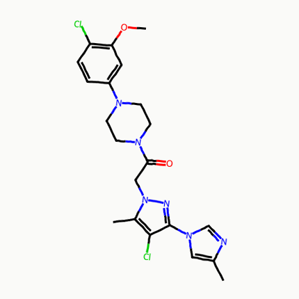 COc1cc(N2CCN(C(=O)Cn3nc(-n4cnc(C)c4)c(Cl)c3C)CC2)ccc1Cl